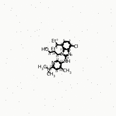 CCC(CC)c1ccc(Cl)c2nc(Nc3cnc(N(C)C)cc3C)n(CCCO)c12